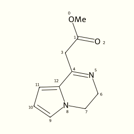 COC(=O)CC1=NCCn2cccc21